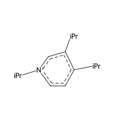 CC(C)c1cc[n+](C(C)C)cc1C(C)C